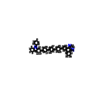 c1ccc(-n2c3ccccc3c3ccc(-c4ccc(-c5ccc(-c6ccc(-c7ccc8c(c7)c7ccccc7c7nccnc87)cc6)cc5)cc4)cc32)cc1